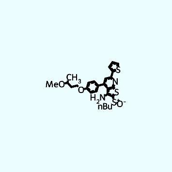 CCCC[S+]([O-])c1sc2nc(-c3cccs3)cc(-c3ccc(OCCC(C)OC)cc3)c2c1N